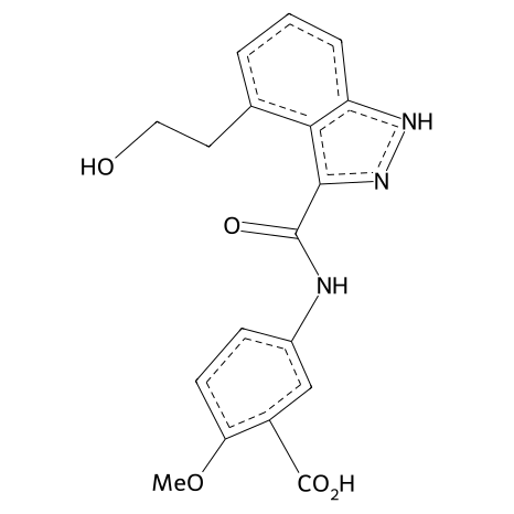 COc1ccc(NC(=O)c2n[nH]c3cccc(CCO)c23)cc1C(=O)O